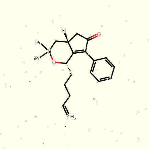 C=CCCC[C@@H]1O[Si](C(C)C)(C(C)C)C[C@@H]2CC(=O)C(c3ccccc3)=C21